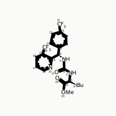 CC[C@H](C)C(NC(=O)N[C@@H](c1ccc(C(F)(F)F)cc1)c1ncccc1C(F)(F)F)C(=O)OC